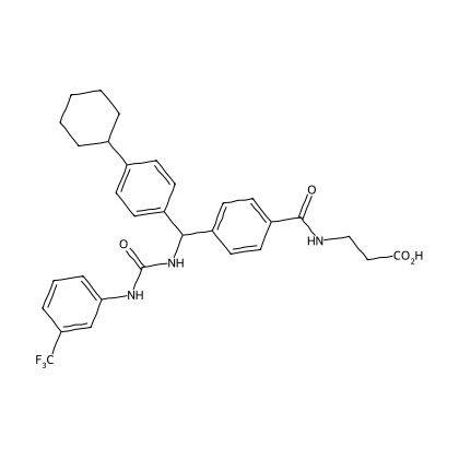 O=C(O)CCNC(=O)c1ccc(C(NC(=O)Nc2cccc(C(F)(F)F)c2)c2ccc(C3CCCCC3)cc2)cc1